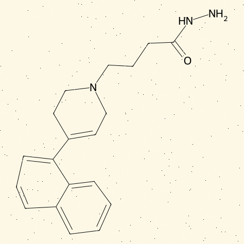 NNC(=O)CCCN1CC=C(c2cccc3ccccc23)CC1